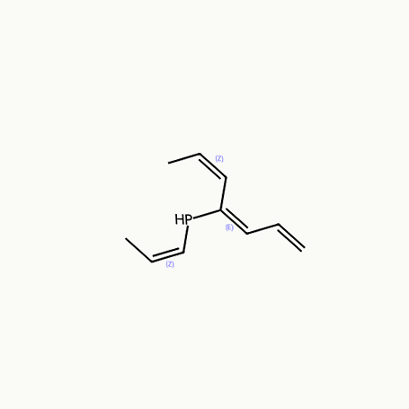 C=C/C=C(\C=C/C)P/C=C\C